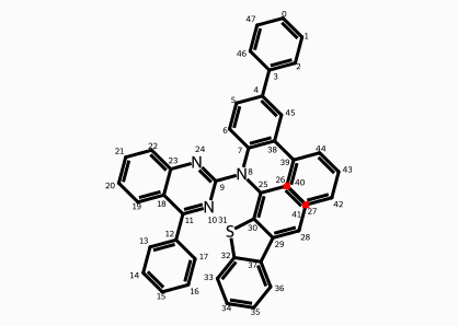 c1ccc(-c2ccc(N(c3nc(-c4ccccc4)c4ccccc4n3)c3cccc4c3sc3ccccc34)c(-c3ccccc3)c2)cc1